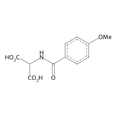 COc1ccc(C(=O)NC(C(=O)O)C(=O)O)cc1